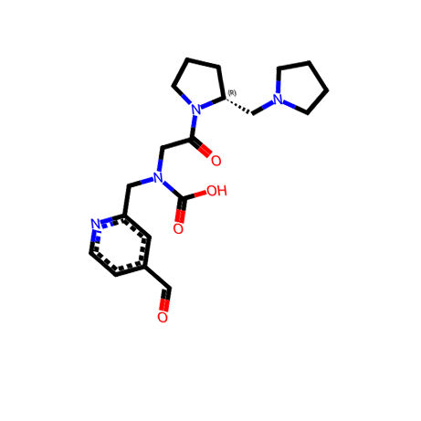 O=Cc1ccnc(CN(CC(=O)N2CCC[C@@H]2CN2CCCC2)C(=O)O)c1